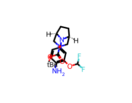 CC(C)(C)OC(=O)N1C[C@H]2CC[C@@H](C1)N2c1ccc(N)c(OC(F)F)c1